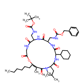 CCCCCC/C1=C(\C)C(=O)N(C)C(CC(C)C)C(=O)NC(C2CCCCC2)C(=O)NC(CNC(=O)OCc2ccccc2)C(=O)NC(CNC(=O)OC(C)(C)C)C(=O)NCC(=O)O1